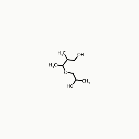 CC(O)COC(C)C(C)CO